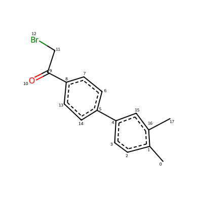 Cc1ccc(-c2ccc(C(=O)CBr)cc2)cc1C